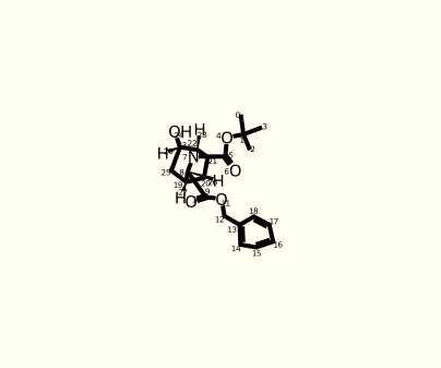 CC(C)(C)OC(=O)N1[C@H](C(=O)OCc2ccccc2)[C@@H]2CC[C@H]1[C@@H](O)C2